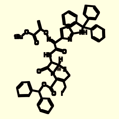 C=C(ON=C(C(=O)NC1C(=O)N2C(C(=O)OC(c3ccccc3)c3ccccc3)=C(CI)CS[C@@H]12)c1csc(NC(c2ccccc2)(c2ccccc2)c2ccccc2)n1)C(=O)OC(C)(C)C